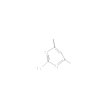 Cc1cc(C)nc(Br)n1